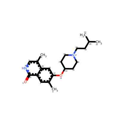 Cc1cc2c(=O)[nH]cc(C)c2cc1OC1CCN(CCC(C)C)CC1